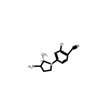 C[C@H]1C(N)CCN1c1ccc(C#N)c(Cl)c1